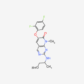 COCC(C)Nc1ncc2cc(Oc3ccc(F)cc3F)c(=O)n(C)c2n1